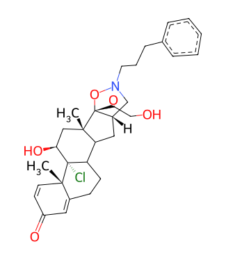 C[C@]12C=CC(=O)C=C1CCC1C3C[C@H]4CN(CCCc5ccccc5)O[C@@]4(C(=O)CO)[C@@]3(C)C[C@H](O)[C@@]12Cl